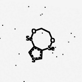 c1scc2c1[Se]OCCO[Se]2